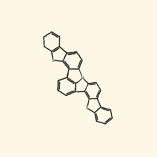 C1=Cc2c(sc3c2ccc2c3c3cccc4c5c6sc7ccccc7c6ccc5n2c34)CC1